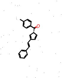 Cc1ccc(C(=O)[C@H]2C=CC(/C=C/c3ccccc3)=C2)cc1